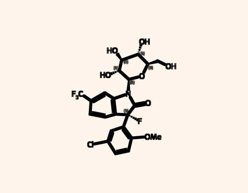 COc1ccc(Cl)cc1[C@]1(F)C(=O)N([C@@H]2O[C@H](CO)[C@@H](O)[C@H](O)[C@H]2O)c2cc(C(F)(F)F)ccc21